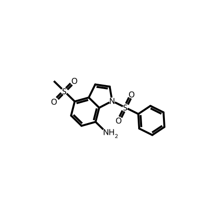 CS(=O)(=O)c1ccc(N)c2c1ccn2S(=O)(=O)c1ccccc1